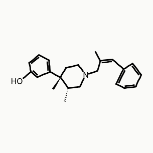 C/C(=C/c1ccccc1)CN1CC[C@@](C)(c2cccc(O)c2)[C@@H](C)C1